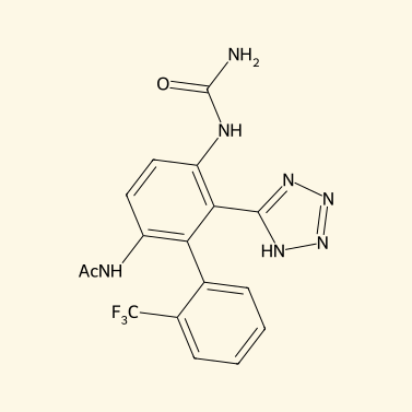 CC(=O)Nc1ccc(NC(N)=O)c(-c2nnn[nH]2)c1-c1ccccc1C(F)(F)F